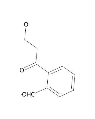 [O]CCC(=O)c1ccccc1[C]=O